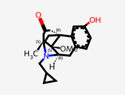 CO[C@@]12[C@@H](C)CC(=O)C[C@@]13CCN(CC1CC1)[C@@H]2Cc1ccc(O)cc13